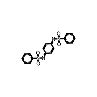 O=S(=O)(N=C1C=CC(=NS(=O)(=O)c2ccccc2)C=C1)c1ccccc1